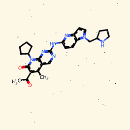 CC(=O)c1c(C)c2cnc(Nc3ccc4c(ccn4CC4CCCN4)n3)nc2n(C2CCCC2)c1=O